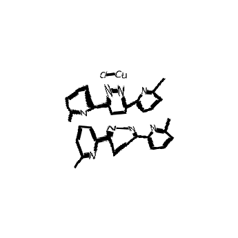 Cc1cccc(-c2ccc(-c3cccc(C)n3)nn2)n1.Cc1cccc(-c2ccc(-c3cccc(C)n3)nn2)n1.[Cl][Cu]